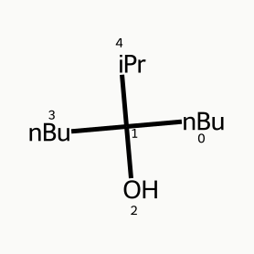 CCCCC(O)(CCCC)C(C)C